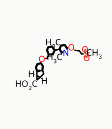 Cc1cc(OCCCS(C)(=O)=O)nc(C)c1-c1cccc(COc2ccc3c(c2)C[C@H]2C(C(=O)O)[C@@H]32)c1